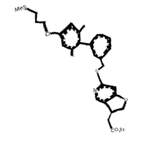 CCOC(=O)C[C@@H]1COc2cc(OCc3cccc(-c4c(C)cc(OCCCSC)cc4C)c3)ncc21